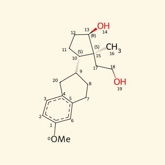 COc1ccc2c(c1)CCC([C@@H]1CC[C@@H](O)[C@@]1(C)CCO)C2